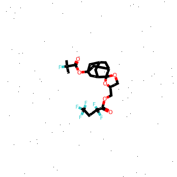 CC(C)(F)C(=O)OC12CC3CC(C1)C1(OCC(COC(=O)C(F)(F)CC(F)(F)F)O1)C(C3)C2